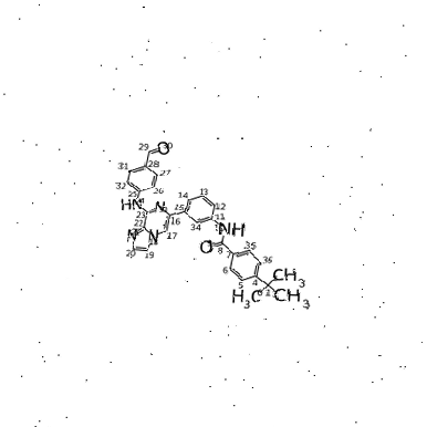 CC(C)(C)c1ccc(C(=O)Nc2cccc(-c3cn4ccnc4c(Nc4ccc(C=O)cc4)n3)c2)cc1